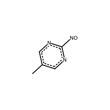 Cc1cnc(N=O)nc1